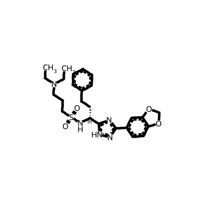 CCN(CC)CCCS(=O)(=O)N[C@H](CCc1ccccc1)c1nc(-c2ccc3c(c2)OCO3)n[nH]1